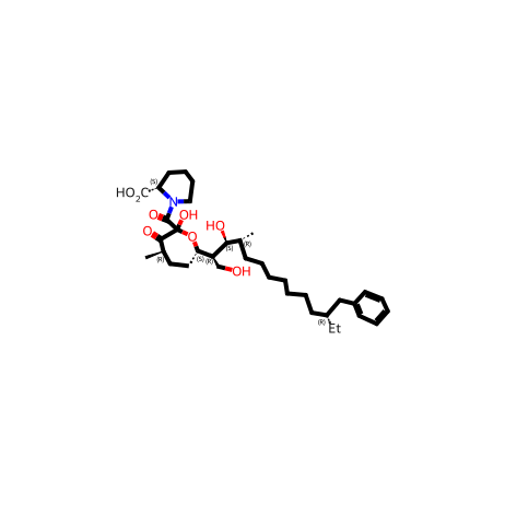 CC[C@H](CCCCCCC[C@@H](C)[C@H](O)[C@@H](CO)[C@@H]1CC[C@@H](C)C(=O)C(O)(C(=O)N2CCCC[C@H]2C(=O)O)O1)Cc1ccccc1